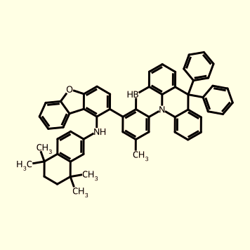 Cc1cc(-c2ccc3oc4ccccc4c3c2Nc2ccc3c(c2)C(C)(C)CCC3(C)C)c2c(c1)N1c3ccccc3C(c3ccccc3)(c3ccccc3)c3cccc(c31)B2